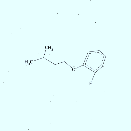 CC(C)CCOc1ccc[c]c1F